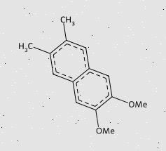 COc1cc2cc(C)c(C)cc2cc1OC